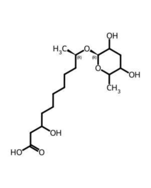 CC1O[C@@H](O[C@H](C)CCCCCCC(O)CC(=O)O)C(O)CC1O